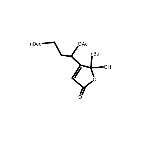 CCCCCCCCCCCCC(OC(C)=O)C1=CC(=O)OC1(O)CCCC